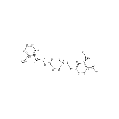 COc1ccc(CCN2CCC(CCOc3ccccc3Cl)CC2)cc1OC